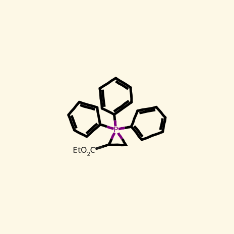 CCOC(=O)C1CP1(c1ccccc1)(c1ccccc1)c1ccccc1